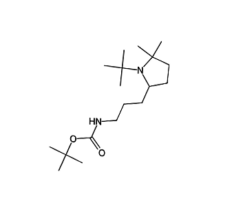 CC(C)(C)OC(=O)NCCCC1CCC(C)(C)N1C(C)(C)C